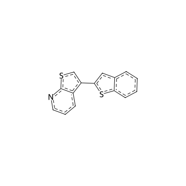 c1ccc2sc(-c3csc4ncccc34)cc2c1